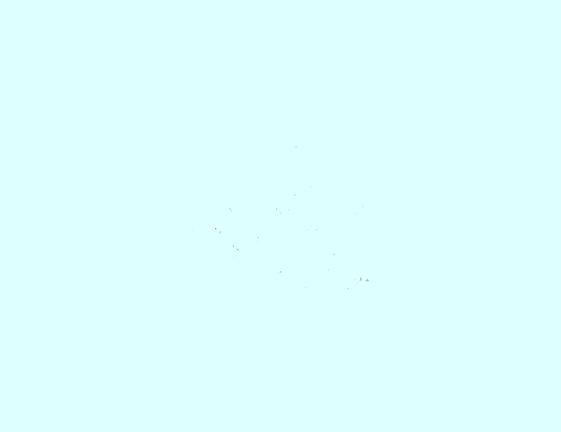 COc1ccc(C2=NN(C)C(=O)C2(C)N(OC(=O)OC(C)(C)C)C(=O)OC(C)(C)C)cc1